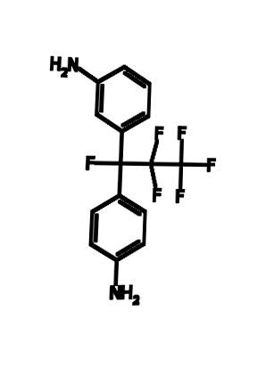 Nc1ccc(C(F)(c2cccc(N)c2)C(F)(F)C(F)(F)F)cc1